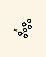 Cl.Cl.[Pd].[Pd].c1ccc(P(c2ccccc2)c2ccccc2)cc1.c1ccc(P(c2ccccc2)c2ccccc2)cc1